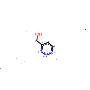 OCc1ccnnn1